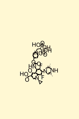 C[C@@H]1CN(c2c(F)c(NC(=O)Oc3ccc(CC(P(=O)(O)O)P(=O)(O)O)cc3)c3c(=O)c(C(=O)O)cn(C4CC4)c3c2F)C[C@H](C)N1